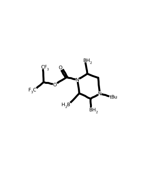 BC1CN(C(C)(C)C)C(B)C(B)N1C(=O)OC(C(F)(F)F)C(F)(F)F